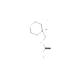 CC(C)(C)OC(=O)NC[C@]1(C)CCNC[C@@H]1O